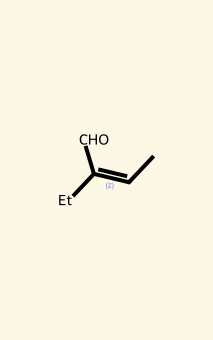 C/C=C(\C=O)CC